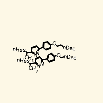 CCCCCCCCCCCCOc1ccc(-c2ccc(C(C)CCCCCC)nn2)cc1.CCCCCCCCCCCOc1ccc(-c2ccc(C(C)CCCCCC)nn2)cc1